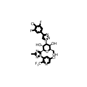 Cc1nc([C@@H]2O[C@H](CO)[C@H](O)[C@H](n3cc(-c4cc(F)c(Cl)c(F)c4)nn3)[C@H]2O)n(-c2cc(Cl)cnc2C(F)(F)F)n1